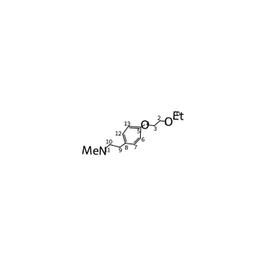 CCOCCOc1ccc(CCNC)cc1